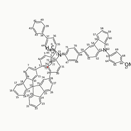 C=Cc1ccc(-c2ccc3c(c2)C2(c4ccccc4-3)c3ccccc3-c3ccc(-c4ccc(N(c5ccc(-c6ccccc6)cc5)c5ccc(-c6ccc7c(c6)c6ccccc6n7-c6ccc(OC)cc6)cc5)cc4)cc32)cc1